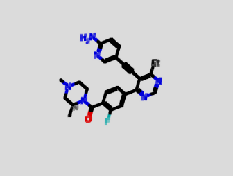 CCc1ncnc(-c2ccc(C(=O)N3CCN(C)C[C@@H]3C)c(F)c2)c1C#Cc1ccc(N)nc1